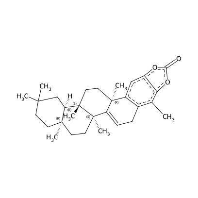 Cc1c2c(cc3oc(=O)oc13)[C@]1(C)CC[C@@]3(C)[C@@H]4CC(C)(C)CC[C@]4(C)CC[C@]3(C)C1=CC2